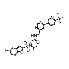 CC(C)N(CC(=O)NCc1cc(-c2ccc(C(F)(F)F)nc2)ncn1)S(=O)(=O)c1cc2cc(F)ccc2o1